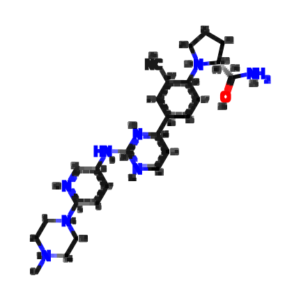 CN1CCN(c2ccc(Nc3nccc(-c4ccc(N5CCC[C@@H]5C(N)=O)c(C#N)c4)n3)cn2)CC1